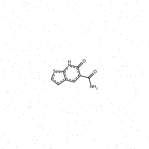 NC(=O)c1cc2ccsc2[nH]c1=O